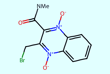 CNC(=O)c1c(CBr)[n+]([O-])c2ccccc2[n+]1[O-]